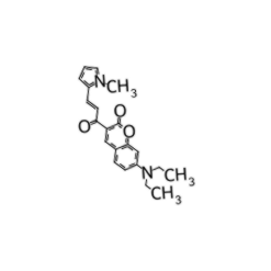 CCN(CC)c1ccc2cc(C(=O)C=Cc3cccn3C)c(=O)oc2c1